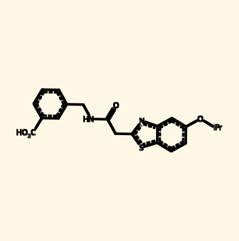 CC(C)Oc1ccc2sc(CC(=O)NCc3cccc(C(=O)O)c3)nc2c1